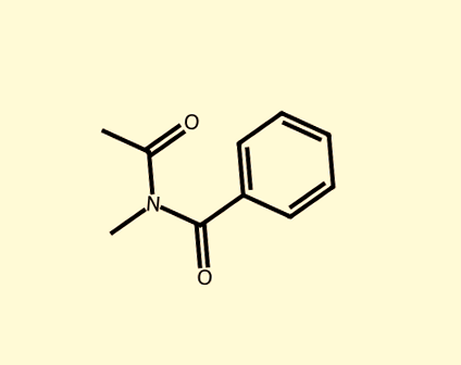 CC(=O)N(C)C(=O)c1ccccc1